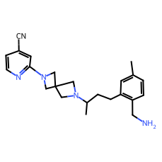 Cc1ccc(CN)c(CCC(C)N2CC3(CN(c4cc(C#N)ccn4)C3)C2)c1